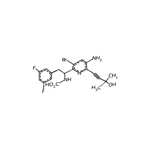 CC(C)(O)C#Cc1nc(C(Cc2cc(F)cc(F)c2)NC(=O)O)c(Br)cc1N